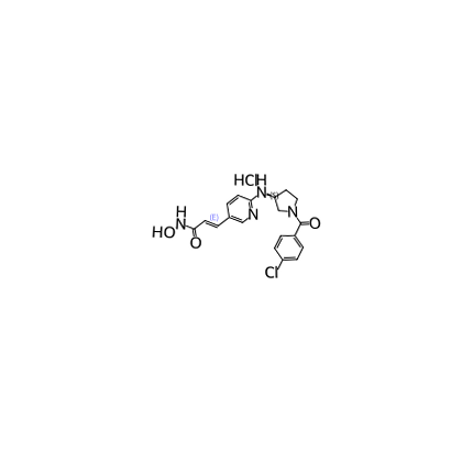 Cl.O=C(/C=C/c1ccc(N[C@H]2CCN(C(=O)c3ccc(Cl)cc3)C2)nc1)NO